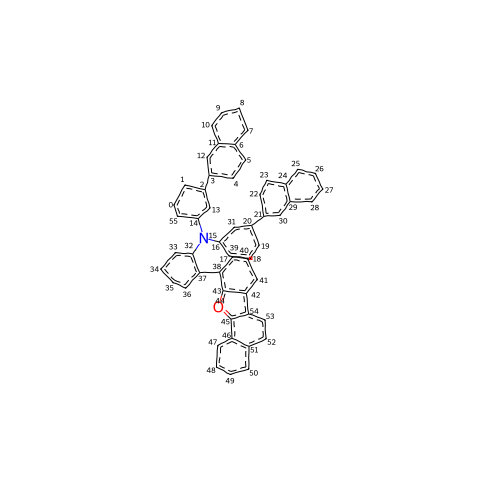 c1cc(-c2ccc3ccccc3c2)cc(N(c2cccc(-c3ccc4ccccc4c3)c2)c2ccccc2-c2cccc3c2oc2c4ccccc4ccc32)c1